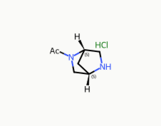 CC(=O)N1C[C@@H]2C[C@H]1CN2.Cl